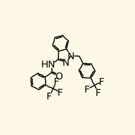 O=C(Nc1nn(Cc2ccc(C(F)(F)F)cc2)c2ccccc12)c1ccccc1C(F)(F)F